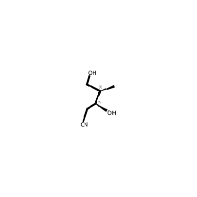 C[C@H](CO)[C@@H](O)CC#N